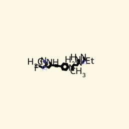 CC/C(N)=C/N(N)CCN(C)c1ccc(C#CC2=CC(=C/CF)/C(=N\C)N2)cc1